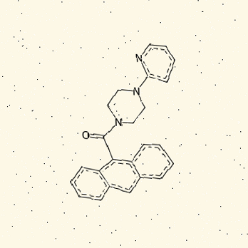 O=C(c1c2ccccc2cc2ccccc12)N1CCN(c2ccccn2)CC1